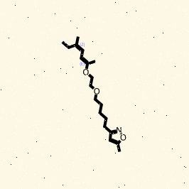 CC/C(C)=C\C=C(/C)OCCOCCCCCc1cc(C)on1